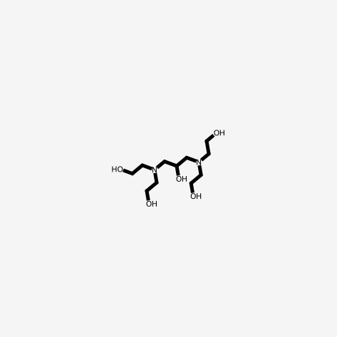 OCCN(CCO)CC(O)CN(CCO)CCO